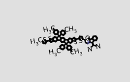 Cc1ccc(C2(c3ccc(C)cc3)c3cc4c(cc3-c3cc5cc(-c6ccc(C)s6)sc5cc32)C(c2ccc(C)cc2)(c2ccc(C)cc2)c2cc3sc(-c5ccc(CC/C=C6\C(=O)c7ccccc7C6=C(C#N)C#N)s5)cc3cc2-4)cc1